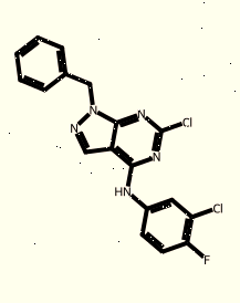 Fc1ccc(Nc2nc(Cl)nc3c2cnn3Cc2ccccc2)cc1Cl